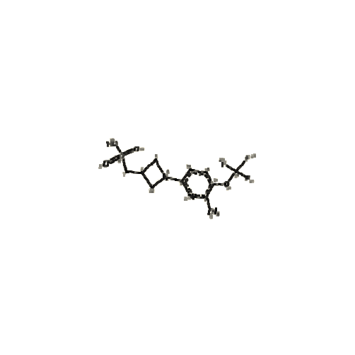 Cc1nc(N2CC(CS(=O)(=O)O)C2)ccc1OC(F)(F)F